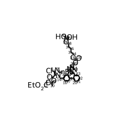 CCCCc1nc(Cl)c(C(=O)OC(C)OC(=O)OCC)n1Cc1ccc(-c2ccccc2-c2nnn(COC(=O)OCCCCCON(O)O)n2)cc1